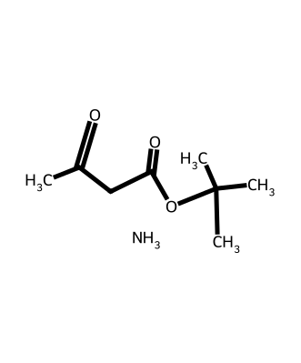 CC(=O)CC(=O)OC(C)(C)C.N